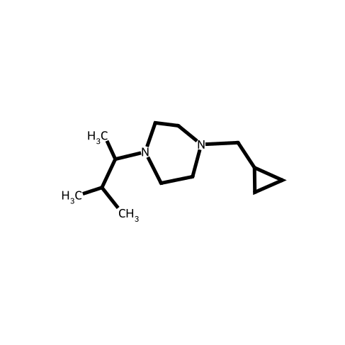 CC(C)C(C)N1CCN(CC2CC2)CC1